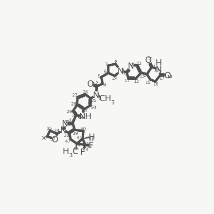 CN(C(=O)CCC1CCN(c2ccc(C3CCC(=O)NC3=O)cn2)C1)c1ccc2cc(-c3nn(C4CCO4)c4c3C[C@@H]3C(F)(F)[C@]3(C)C4)[nH]c2c1